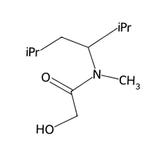 CC(C)CC(C(C)C)N(C)C(=O)CO